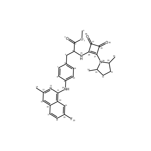 COC(=O)C(Cc1ccc(Nc2nc(C)cc3ccc(F)cc23)cc1)Nc1c(N2C(C)CCC2C)c(=O)c1=O